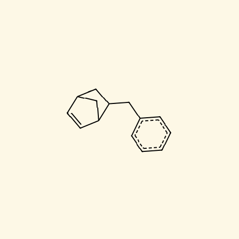 C1=CC2CC1CC2Cc1ccccc1